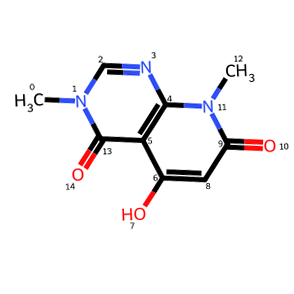 Cn1cnc2c(c(O)cc(=O)n2C)c1=O